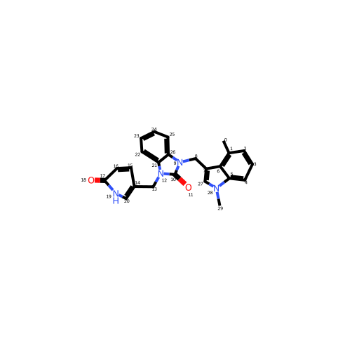 Cc1cccc2c1c(Cn1c(=O)n(Cc3ccc(=O)[nH]c3)c3ccccc31)cn2C